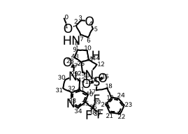 CO[C@@H]1COCC[C@@H]1N[C@@H]1C[C@H]2CN(S(=O)(=O)CCc3ccccc3)C[C@@]2(C(=O)N2CCc3ncc(C(F)(F)F)cc3C2)C1